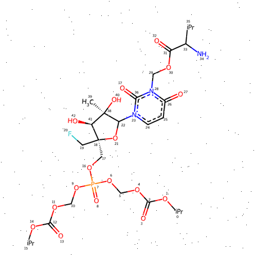 CC(C)OC(=O)OCOP(=O)(OCOC(=O)OC(C)C)OC[C@@]1(CF)OC(n2ccc(=O)n(COC(=O)C(N)C(C)C)c2=O)[C@](C)(O)[C@@H]1O